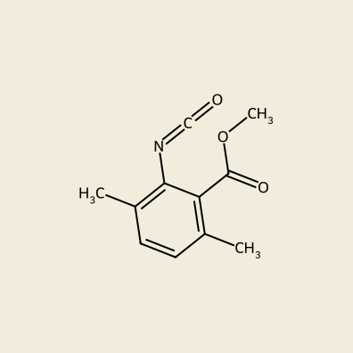 COC(=O)c1c(C)ccc(C)c1N=C=O